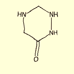 O=C1CNCNN1